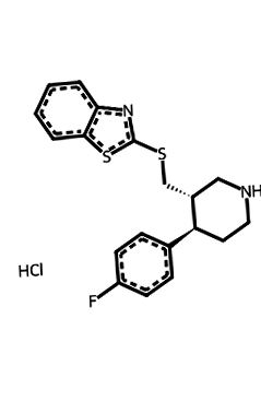 Cl.Fc1ccc([C@@H]2CCNC[C@H]2CSc2nc3ccccc3s2)cc1